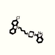 Clc1ccc2c3ccccc3n(CCCCN3CCN(c4nsc5ccccc45)CC3)c2c1